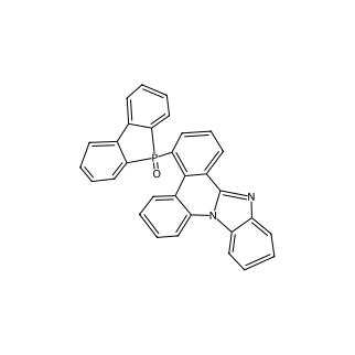 O=P1(c2cccc3c2c2ccccc2n2c4ccccc4nc32)c2ccccc2-c2ccccc21